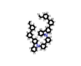 C=Cc1cccc(-c2cccc(-c3ccc4c(c3)c3ccccc3n4-c3cccc(-c4cccc(-n5c6ccccc6c6cc(-c7cccc(-c8cccc(C=C)c8)c7)ccc65)c4)c3)c2)c1